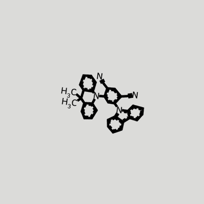 CC1(C)c2ccccc2N(c2cc(-n3c4ccccc4c4ccccc43)c(C#N)cc2C#N)c2ccccc21